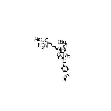 CC(C)(C)SSCC(NC(=O)OCc1ccc(N=[N+]=[N-])cc1)C(=O)NCCCCC(N)C(=O)O